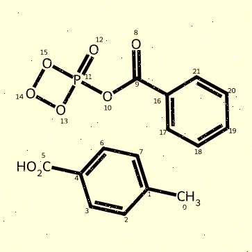 Cc1ccc(C(=O)O)cc1.O=C(OP1(=O)OOO1)c1ccccc1